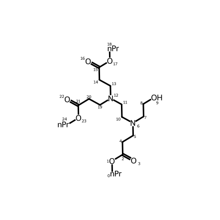 CCCOC(=O)CCN(CCO)CCN(CCC(=O)OCCC)CCC(=O)OCCC